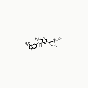 Cc1cnc2ccc(CNc3nc(/C(=C/NCCO)CN)cnc3N)cn12